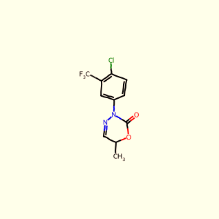 CC1C=NN(c2ccc(Cl)c(C(F)(F)F)c2)C(=O)O1